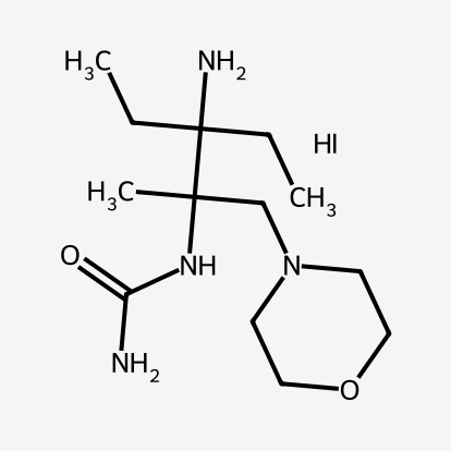 CCC(N)(CC)C(C)(CN1CCOCC1)NC(N)=O.I